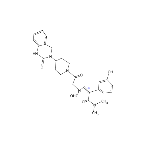 CN(C)C(=O)/C(=C\N(C=O)CC(=O)N1CCC(N2Cc3ccccc3NC2=O)CC1)c1cccc(O)c1